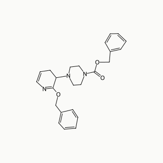 O=C(OCc1ccccc1)N1CCN(C2CC=CN=C2OCc2ccccc2)CC1